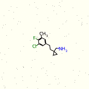 Cc1cc(CCC2(CN)CC2)cc(Cl)c1F